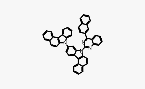 c1ccc2cc(-c3nc(-n4c5cc(-n6c7ccccc7c7c8ccccc8ccc76)ccc5c5c6ccccc6ccc54)nc4ccccc34)ccc2c1